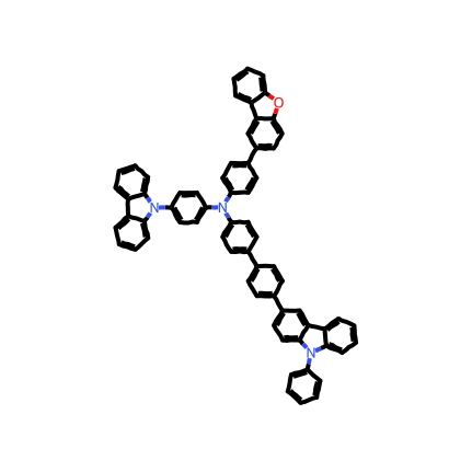 c1ccc(-n2c3ccccc3c3cc(-c4ccc(-c5ccc(N(c6ccc(-c7ccc8oc9ccccc9c8c7)cc6)c6ccc(-n7c8ccccc8c8ccccc87)cc6)cc5)cc4)ccc32)cc1